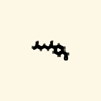 CC(C)=CCCC(C)c1ccc(C=O)cc1